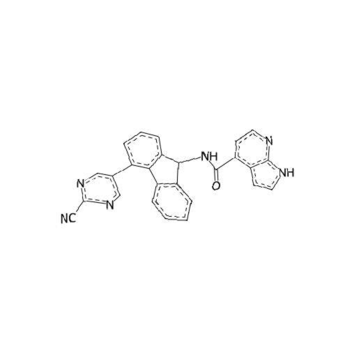 N#Cc1ncc(-c2cccc3c2-c2ccccc2C3NC(=O)c2ccnc3[nH]ccc23)cn1